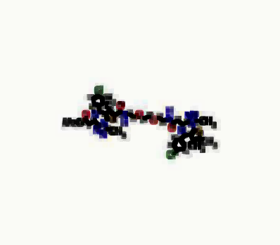 COC(=O)CC1N=C(c2ccc(Cl)cc2)c2c(sc(C(=O)NCCOCCOCCNC(=O)CC3N=C(c4ccc(Cl)cc4)c4c(sc(C)c4C)-n4c(C)nnc43)c2C)-n2c(C)nnc21